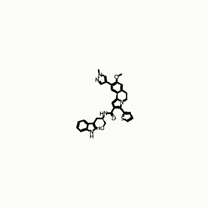 COc1cc2c(cc1-c1cnn(C)c1)-c1cc(C(=O)N[C@@H](CO)Cc3c[nH]c4ccccc34)c(-c3cccs3)n1CC2